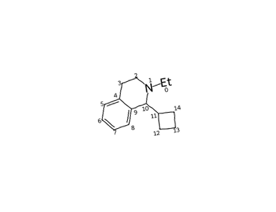 CCN1CCc2ccccc2C1C1CCC1